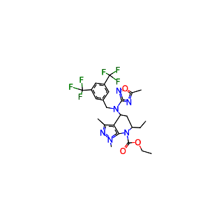 CCOC(=O)N1c2c(c(C)nn2C)C(N(Cc2cc(C(F)(F)F)cc(C(F)(F)F)c2)c2noc(C)n2)CC1CC